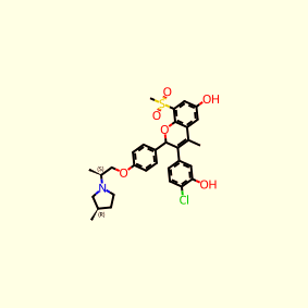 CC1=C(c2ccc(Cl)c(O)c2)C(c2ccc(OC[C@H](C)N3CC[C@@H](C)C3)cc2)Oc2c1cc(O)cc2S(C)(=O)=O